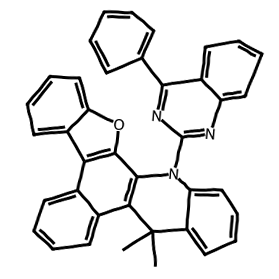 CC1(C)c2ccccc2N(c2nc(-c3ccccc3)c3ccccc3n2)c2c1c1ccccc1c1c2oc2ccccc21